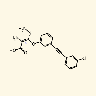 NN/C(Oc1cccc(C#Cc2cccc(Cl)c2)c1)=C(\N)C(=O)O